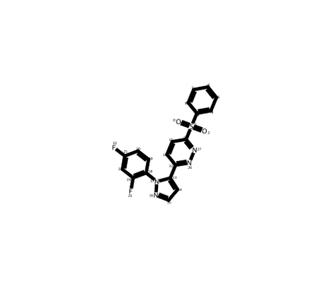 O=S(=O)(c1ccccc1)c1ccc(-c2ccnn2-c2ccc(F)cc2F)nn1